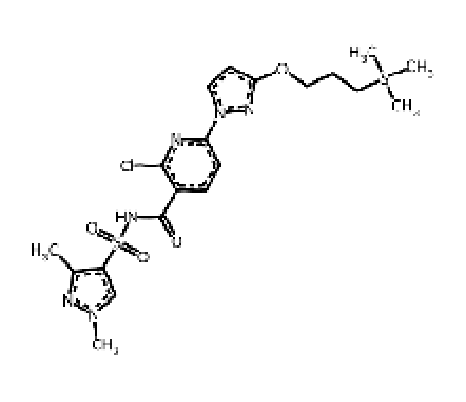 Cc1nn(C)cc1S(=O)(=O)NC(=O)c1ccc(-n2ccc(OCCCS(C)(C)C)n2)nc1Cl